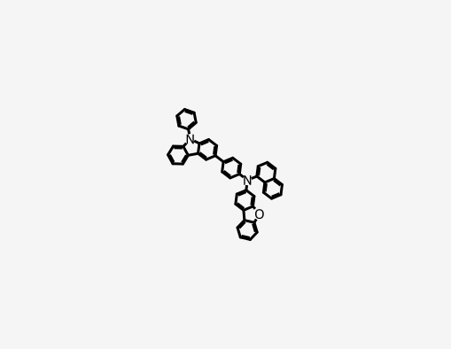 c1ccc(-n2c3ccccc3c3cc(-c4ccc(N(c5ccc6c(c5)oc5ccccc56)c5cccc6ccccc56)cc4)ccc32)cc1